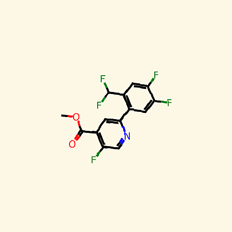 COC(=O)c1cc(-c2cc(F)c(F)cc2C(F)F)ncc1F